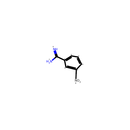 N=C(N)c1cc[c]c([N+](=O)[O-])c1